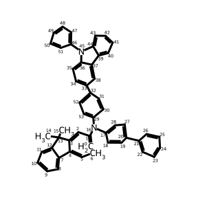 C=C(/C=C1\C(=C/C)c2ccccc2C1(C)C)N(c1ccc(-c2ccccc2)cc1)c1ccc(-c2ccc3c(c2)c2ccccc2n3-c2ccccc2)cc1